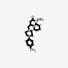 CCCCOC(=O)CC(CN1CCN(c2ccc(C)cc2)CC1)N1CCCCC1